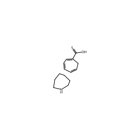 C1CCCNCC1.OC(=S)C1=CC=CC=CC1